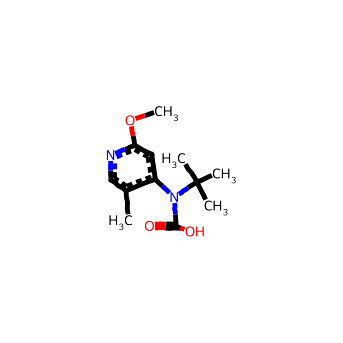 COc1cc(N(C(=O)O)C(C)(C)C)c(C)cn1